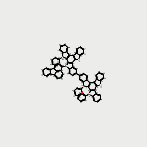 c1ccc(-n2c3ccccc3c3c4oc5ccccc5c4c4c5ccc(-c6ccc7c(c6)c6c8oc9ccccc9c8c8c9ccccc9n(-c9ccccc9)c8c6n7-c6ccc7c8c(cccc68)-c6ccccc6-7)cc5n(-c5ccccc5)c4c32)cc1